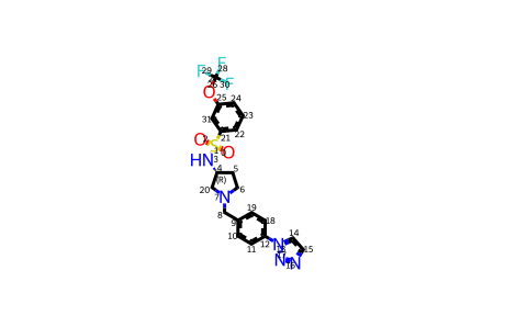 O=S(=O)(N[C@@H]1CCN(Cc2ccc(-n3ccnn3)cc2)C1)c1cccc(OC(F)(F)F)c1